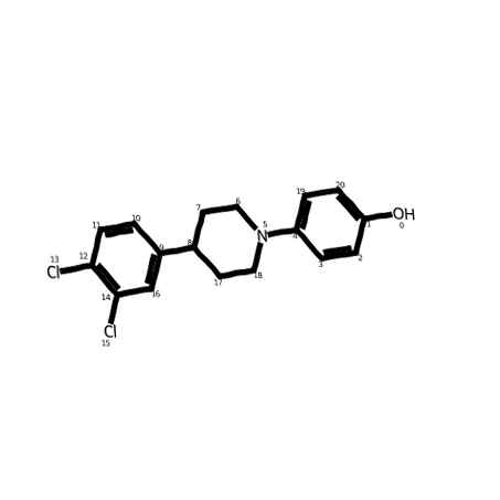 Oc1ccc(N2CCC(c3ccc(Cl)c(Cl)c3)CC2)cc1